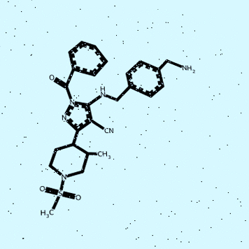 CC1CN(S(C)(=O)=O)CCC1c1nn(C(=O)c2ccccc2)c(NCc2ccc(CN)cc2)c1C#N